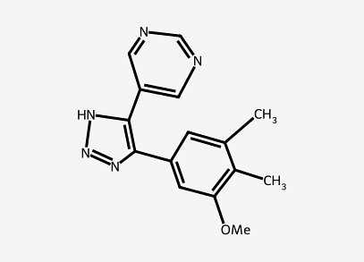 COc1cc(-c2nn[nH]c2-c2cncnc2)cc(C)c1C